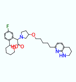 O=C(O)C(c1cc(F)ccc1C1CCCCO1)N1CCC(OCCCCCc2ccc3c(n2)NCCC3)C1